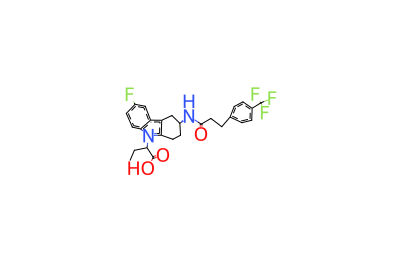 CCC(C(=O)O)n1c2c(c3cc(F)ccc31)C[C@@H](NC(=O)CCc1ccc(C(F)(F)F)cc1)CC2